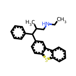 CCNCC(C)C(c1ccccc1)c1ccc2sc3ccccc3c2c1